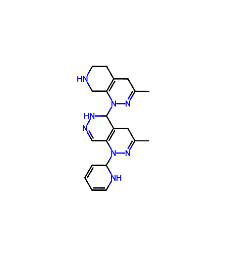 CC1=NN(C2C=CC=CN2)C2=C(C1)C(N1N=C(C)CC3=C1CNCC3)NN=C2